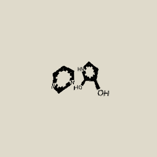 Oc1cc[nH]c1O.c1cncnc1